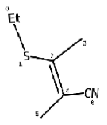 CCS/C(C)=C(\C)C#N